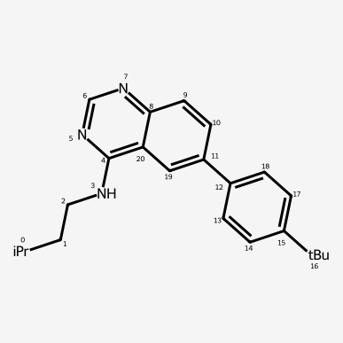 CC(C)CCNc1ncnc2ccc(-c3ccc(C(C)(C)C)cc3)cc12